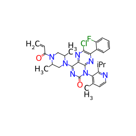 C=CC(=O)N1CC(C)N(c2nc(=O)n(-c3c(C)ccnc3C(C)C)c3nc(-c4ccccc4F)c(Cl)nc23)CC1C